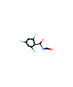 O=C=NC(=O)c1c(F)cc(F)cc1F